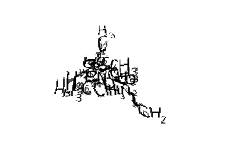 C=CCNC(=O)C(C)ON(C(C(C)(C)C)P(=O)(OCC)OCC)C(C)(C)C